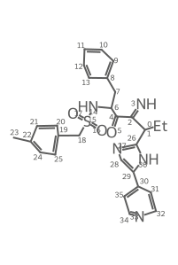 CCC(C(=N)C(=O)C(Cc1ccccc1)NS(=O)(=O)Cc1ccc(C)cc1)c1ncc(-c2ccncc2)[nH]1